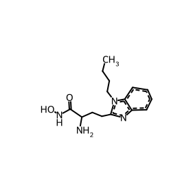 CCCCn1c(CCC(N)C(=O)NO)nc2ccccc21